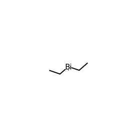 C[CH2][Bi][CH2]C